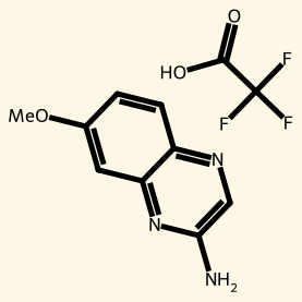 COc1ccc2ncc(N)nc2c1.O=C(O)C(F)(F)F